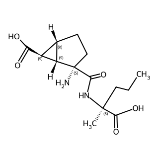 CCC[C@](C)(NC(=O)[C@]1(N)CC[C@H]2[C@H](C(=O)O)[C@H]21)C(=O)O